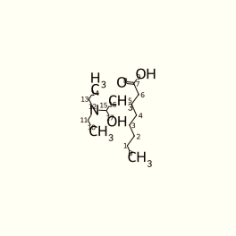 CCCCCCCC(=O)O.CCN(CC)C(C)O